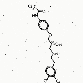 O=C(Nc1ccc(OC[C@@H](O)CNCCc2ccc(Cl)c(Cl)c2)cc1)C(Cl)(Cl)Cl